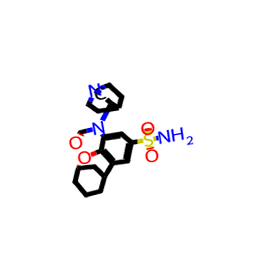 NS(=O)(=O)c1cc2c(c(N(C=O)C3CN4CCC3CC4)c1)OC1CCCC2C1